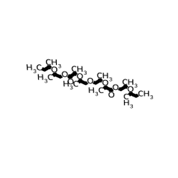 CCC(C)OC(C)COC(=O)C(C)OC(C)COCC(C)OC(C)C(=O)OCC(C)OC(C)CC